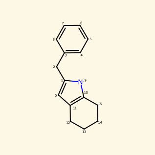 C1=C(Cc2ccccc2)[N]C2=C1CCCC2